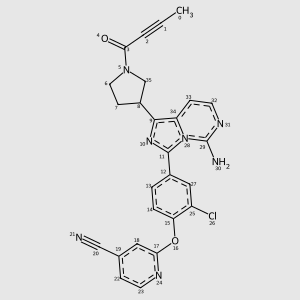 CC#CC(=O)N1CCC(c2nc(-c3ccc(Oc4cc(C#N)ccn4)c(Cl)c3)n3c(N)nccc23)C1